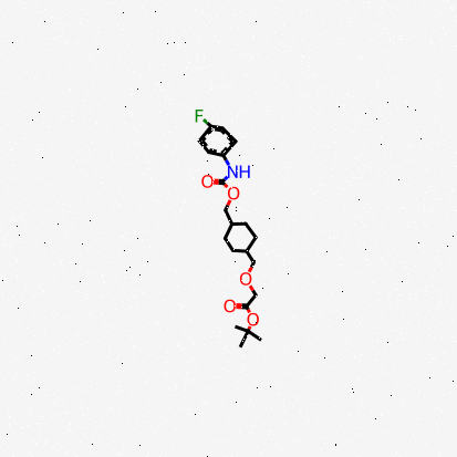 CC(C)(C)OC(=O)COCC1CCC(COC(=O)Nc2ccc(F)cc2)CC1